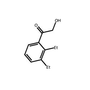 CCc1cccc(C(=O)CO)c1CC